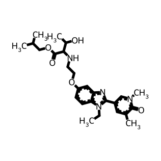 CCn1c(-c2cc(C)c(=O)n(C)c2)nc2cc(OCCNC(C(=O)OCC(C)C)C(C)O)ccc21